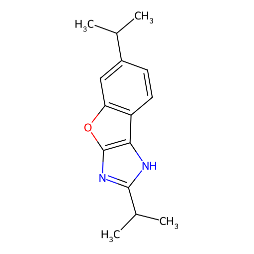 CC(C)c1ccc2c(c1)oc1nc(C(C)C)[nH]c12